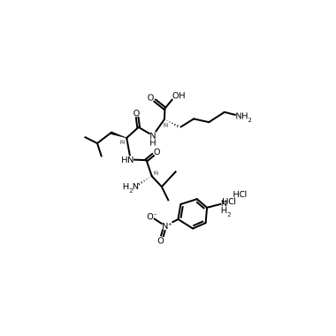 CC(C)C[C@H](NC(=O)[C@@H](N)C(C)C)C(=O)N[C@@H](CCCCN)C(=O)O.Cl.Cl.Nc1ccc([N+](=O)[O-])cc1